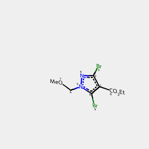 CCOC(=O)c1c(Br)nn(COC)c1Br